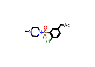 CC(=O)Cc1ccc(Cl)c(S(=O)(=O)N2CCN(C)CC2)c1